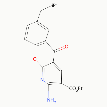 CCOC(=O)c1cc2c(=O)c3cc(CC(C)C)ccc3oc2nc1N